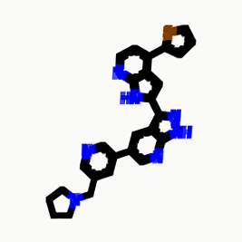 c1csc(-c2ccnc3[nH]c(-c4n[nH]c5ncc(-c6cncc(CN7CCCC7)c6)cc45)cc23)c1